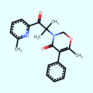 CC1=C(c2ccccc2)C(=O)N(C(C)(C)C(=O)c2cccc(C)n2)CO1